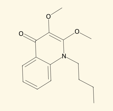 CCCCn1c(OC)c(OC)c(=O)c2ccccc21